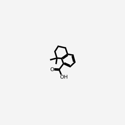 CC1(C)CCCc2cccc(C(=O)O)c21